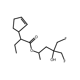 CCC(C(=O)OC(C)CC(O)(CF)CF)C1C=CCC1